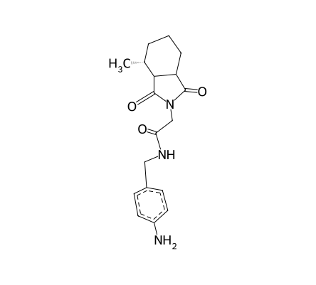 C[C@@H]1CCCC2C(=O)N(CC(=O)NCc3ccc(N)cc3)C(=O)C21